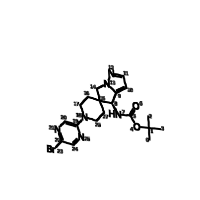 CC(C)(C)OC(=O)N[C@@H]1c2ccnn2CC12CCN(c1cnc(Br)cn1)CC2